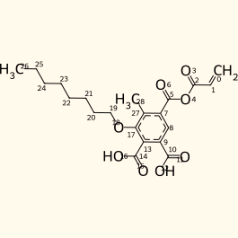 C=CC(=O)OC(=O)c1cc(C(=O)O)c(C(=O)O)c(OCCCCCCCC)c1C